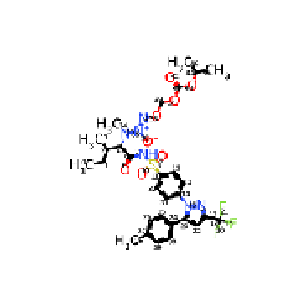 CC[C@@H](C)[C@@H](C(=O)NS(=O)(=O)c1ccc(-n2nc(C(F)(F)F)cc2-c2ccc(C)cc2)cc1)N(C)[N+]([O-])=NOCOC(=O)OC(C)C